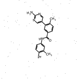 Cc1ccc(C(=O)Nc2ccc(C(C)C)c(C)c2)cc1-c1cnc(N)nc1